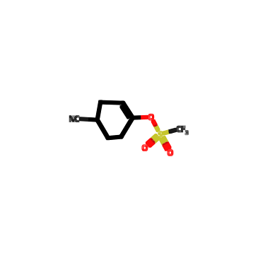 N#CC1CC=C(OS(=O)(=O)C(F)(F)F)CC1